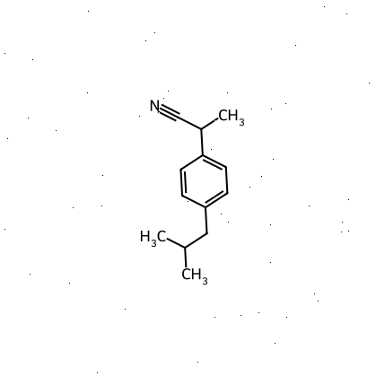 CC(C)Cc1ccc(C(C)C#N)cc1